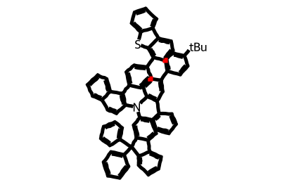 CC(C)(C)c1ccc(-c2ccc(N(c3ccc4c(c3)C(c3ccccc3)(c3ccccc3)c3ccccc3-4)c3ccc4ccccc4c3-c3ccc(-c4cccc5c4sc4ccccc45)cc3)c(-c3ccccc3)c2)cc1